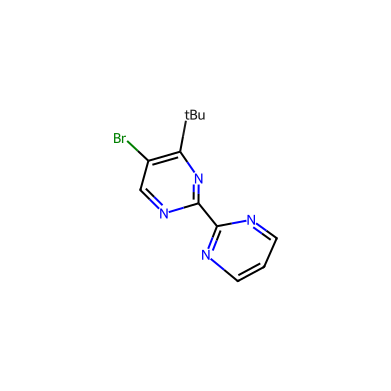 CC(C)(C)c1nc(-c2ncccn2)ncc1Br